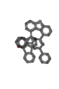 c1ccc(C2=NC(c3ccccc3)NC(c3cccc4oc5cccc(-c6ccc7c8c(cccc68)-c6ccccc6-7)c5c34)=N2)cc1